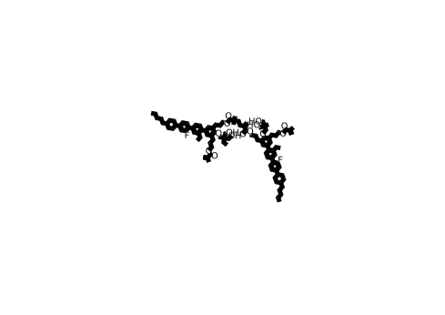 C=C(C)C(=O)OCCCc1cc(-c2ccc(-c3ccc(C4CCC(CCCCC)CC4)cc3F)cc2CC)cc(CCCOC(=O)C(=C)CCC(C)(C)C(=O)OCCCc2cc(-c3ccc(-c4ccc(C5CCC(CCCCC)CC5)cc4F)cc3CC)cc(CCCOC(=O)C(=C)C)c2OCC(CC)(CO)CO)c1OCC(C)(CO)CO